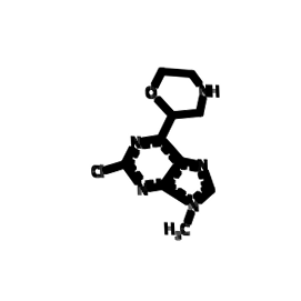 Cn1cnc2c(C3CNCCO3)nc(Cl)nc21